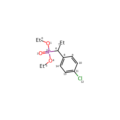 CCOP(=O)(OCC)C(CC)c1ccc(Cl)cc1